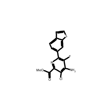 COC(=O)c1nc(-c2ccc3ccsc3c2)c(F)c(N)c1Cl